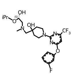 CC(C)O[C@H](O)CN(C)CC1(O)CCN(c2nc(Oc3cccc(F)c3)cc(C(F)(F)F)n2)CC1